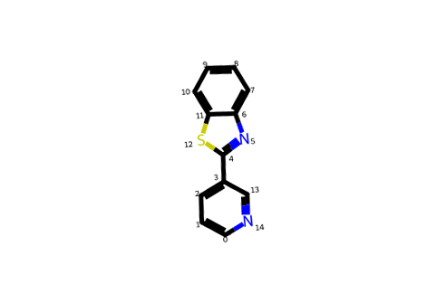 [c]1ccc(-c2nc3ccccc3s2)cn1